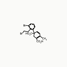 CC1=C(C(=O)O)CC(C(=O)O)(c2cccc(Br)c2CCBr)C=C1